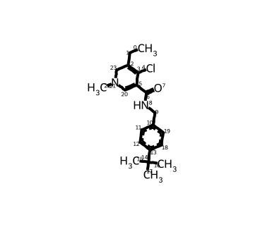 CCC1=C(Cl)C(C(=O)NCc2ccc(C(C)(C)C)cc2)=CN(C)C1